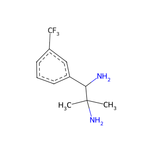 CC(C)(N)C(N)c1cccc(C(F)(F)F)c1